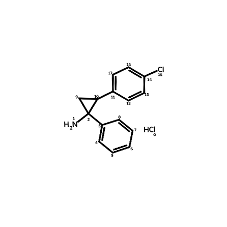 Cl.NC1(c2ccccc2)CC1c1ccc(Cl)cc1